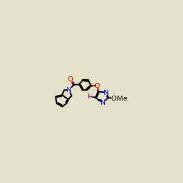 COc1ncc(I)c(Oc2ccc(C(=O)N3Cc4ccccc4C3)cc2)n1